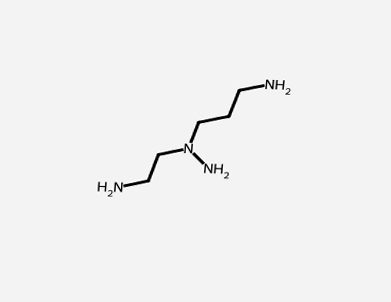 NCCCN(N)CCN